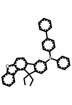 CCC1(CC)c2ccc(N(c3ccccc3)c3ccc(-c4ccccc4)cc3)cc2-c2ccc3oc4ccccc4c3c21